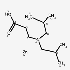 CC(C)CN(CCC(=O)O)CC(C)C.[Zn]